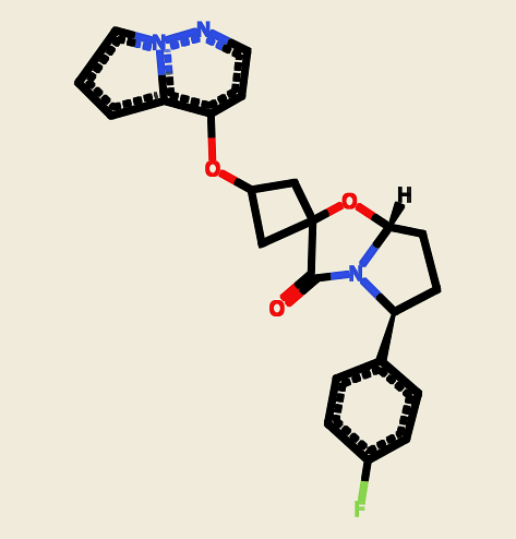 O=C1N2[C@@H](CC[C@H]2c2ccc(F)cc2)OC12CC(Oc1ccnn3cccc13)C2